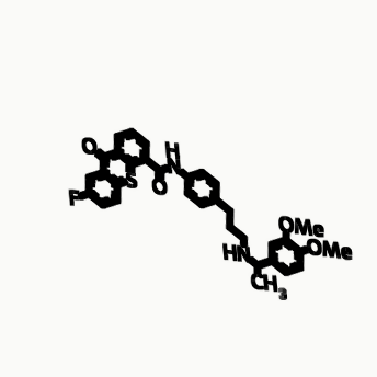 COc1ccc(C(C)NCCCc2ccc(NC(=O)c3cccc4c(=O)c5cc(F)ccc5sc34)cc2)cc1OC